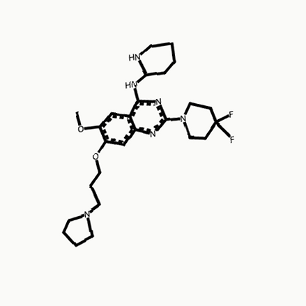 COc1cc2c(NC3CCCCN3)nc(N3CCC(F)(F)CC3)nc2cc1OCCCN1CCCC1